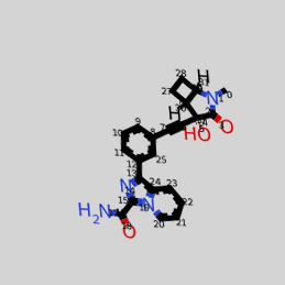 CN1C(=O)[C@@](O)(C#Cc2cccc(-c3nc(C(N)=O)n4ccccc34)c2)[C@@H]2CC[C@@H]21